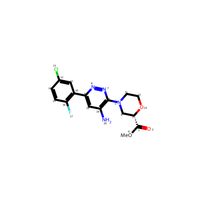 COC(=O)[C@@H]1CN(c2nnc(-c3cc(Cl)ccc3F)cc2N)CCO1